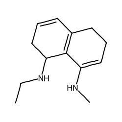 CCNC1CC=CC2=C1C(NC)=CCC2